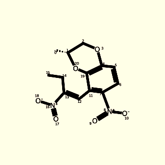 [CH2][C@@H]1COc2ccc([N+](=O)[O-])c(C=C(CC)[N+](=O)[O-])c2O1